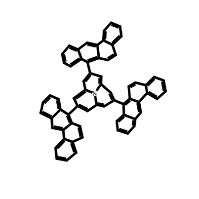 C1=C(c2c3ccccc3cc3c2ccc2ccccc23)C=C2C=C(c3c4ccccc4cc4c3ccc3ccccc34)C=C3C=C(c4c5ccccc5cc5c4ccc4ccccc45)C=C1N23